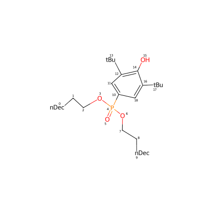 CCCCCCCCCCCCOP(=O)(OCCCCCCCCCCCC)c1cc(C(C)(C)C)c(O)c(C(C)(C)C)c1